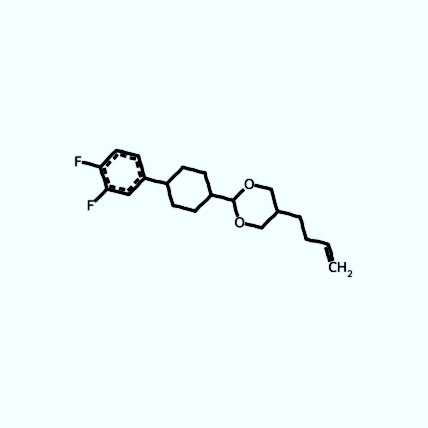 C=CCCC1COC(C2CCC(c3ccc(F)c(F)c3)CC2)OC1